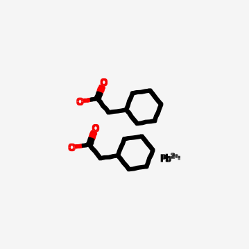 O=C([O-])CC1CCCCC1.O=C([O-])CC1CCCCC1.[Pb+2]